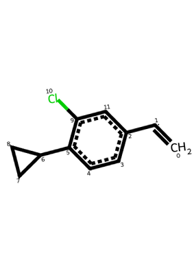 C=[C]c1ccc(C2CC2)c(Cl)c1